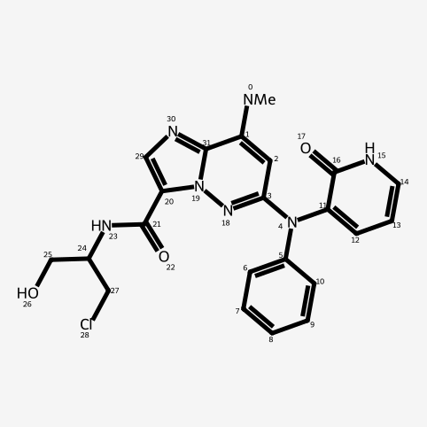 CNc1cc(N(c2ccccc2)c2ccc[nH]c2=O)nn2c(C(=O)NC(CO)CCl)cnc12